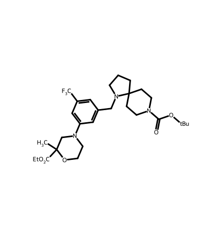 CCOC(=O)C1(C)CN(c2cc(CN3CCCC34CCN(C(=O)OC(C)(C)C)CC4)cc(C(F)(F)F)c2)CCO1